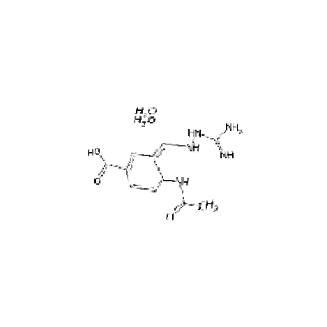 CC(=O)NC1C=CC(C(=O)O)=CC1=CNNC(=N)N.O.O